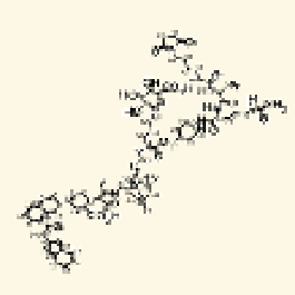 Cc1c(-c2ccc(-c3ccc4cccc(C(=O)Nc5nc6ccccc6s5)c4c3)nc2C(=O)O)cnn1CC12CC3(C)CC(C)(C1)CC(OCCN(CCCO[C@H]1OC(C(=O)O)[C@H](O)[C@@H](O)[C@@H]1O)C(=O)OCc1ccc(NC(=O)[C@H](CCCNC(N)=O)NC(=O)[C@@H](NC(=O)CCCCCN4C(=O)C=CC4=O)C(C)C)cc1)(C3)C2